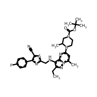 CCc1nn2c(C)cc(N3CCN(C(=O)OC(C)(C)C)CC3C)nc2c1NCc1nc(-c2ccc(F)cc2)c(C#N)s1